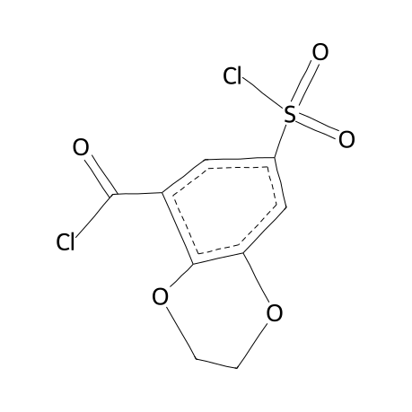 O=C(Cl)c1cc(S(=O)(=O)Cl)cc2c1OCCO2